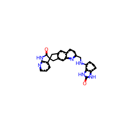 O=C1Nc2ncccc2C12Cc1cc3ccc(CNc4cccc5[nH]c(=O)[nH]c45)nc3cc1C2